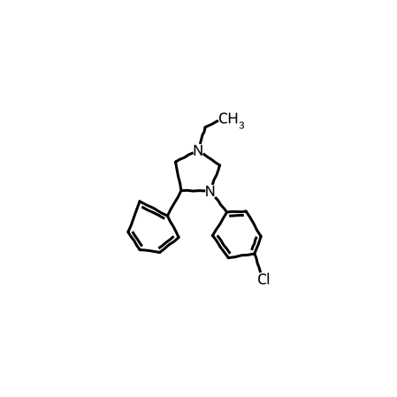 CCN1CC(c2ccccc2)N(c2ccc(Cl)cc2)C1